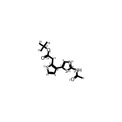 CC(=O)Nc1ncc(-c2ccsc2CC(=O)OC(C)(C)C)s1